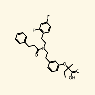 CCC(C)(Oc1cccc(CCN(CCc2ccc(F)cc2F)C(=O)CCc2ccccc2)c1)C(=O)O